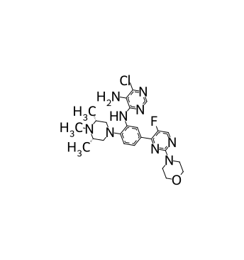 C[C@@H]1CN(c2ccc(-c3nc(N4CCOCC4)ncc3F)cc2Nc2ncnc(Cl)c2N)C[C@H](C)N1C